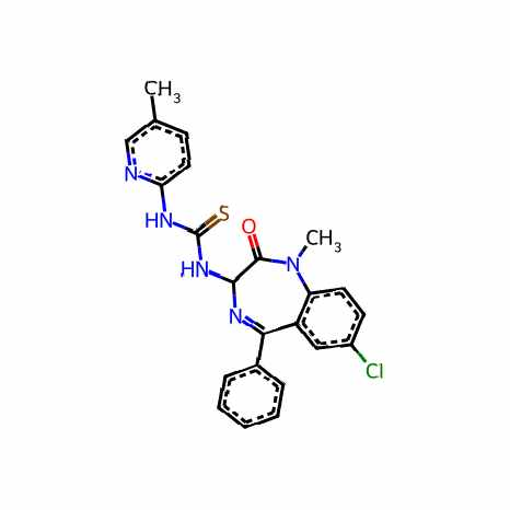 Cc1ccc(NC(=S)NC2N=C(c3ccccc3)c3cc(Cl)ccc3N(C)C2=O)nc1